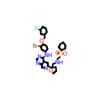 O=S(=O)(CCNCC1(c2cc3c(Nc4ccc(OCc5cccc(F)c5)c(Br)c4)ncnc3cn2)CC=CO1)c1ccccc1